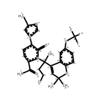 Cc1cn(-c2ccc(C(N)=O)n(C(C)(CCCl)C3=CC(C)(C)Oc4ccc(OC(F)(F)F)cc43)c2=O)cn1